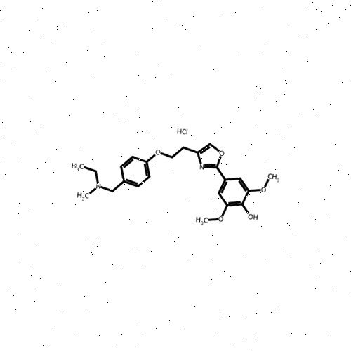 CCN(C)Cc1ccc(OCCc2coc(-c3cc(OC)c(O)c(OC)c3)n2)cc1.Cl